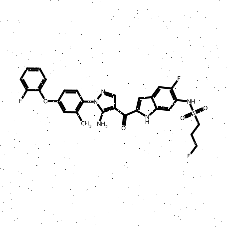 Cc1cc(Oc2ccccc2F)ccc1-n1ncc(C(=O)c2cc3cc(F)c(NS(=O)(=O)CCCF)cc3[nH]2)c1N